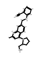 Cc1cc(N2CCCC2CO)c2ccc(COc3ccccc3C#N)cc2n1